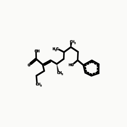 CCC/C(=C\[C@@H](C)CC(C)[C@@H](C)CC(O)c1ccccc1)C(=O)O